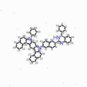 c1ccc(C2NC(c3ccc4cc(-n5c6cc7c(cc6c6c8ccccc8ccc65)c5c6ccccc6ccc5n7-c5ccccc5)ccc4c3)=Nc3ccccc32)cc1